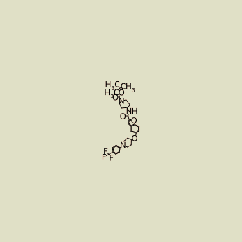 CC(C)(C)OC(=O)N1CCC(NC(=O)c2cc3cc(OC4CCN(c5ccc(C(F)(F)F)cc5)CC4)ccc3o2)CC1